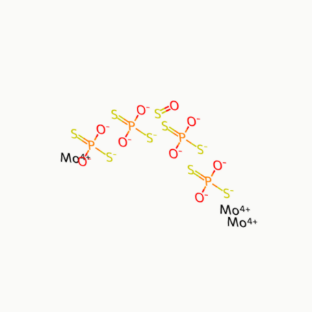 O=S.[Mo+4].[Mo+4].[Mo+4].[O-]P([O-])(=S)[S-].[O-]P([O-])(=S)[S-].[O-]P([O-])(=S)[S-].[O-]P([O-])(=S)[S-]